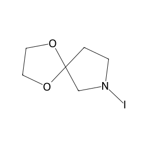 IN1CCC2(C1)OCCO2